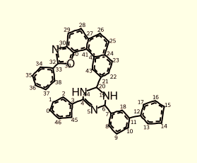 c1ccc(C2=NC(c3cccc(-c4ccccc4)c3)NC(c3ccc4ccc5ccc6nc(-c7ccccc7)oc6c5c4c3)N2)cc1